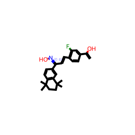 C=C(O)c1ccc(/C=C/C(=N/O)c2ccc3c(c2)C(C)(C)CCC3(C)C)c(F)c1